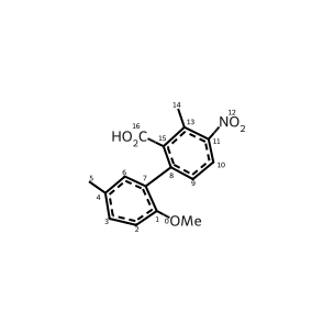 COc1ccc(C)cc1-c1ccc([N+](=O)[O-])c(C)c1C(=O)O